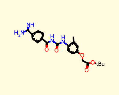 Cc1cc(OCC(=O)OC(C)(C)C)ccc1NC(=O)NC(=O)c1ccc(C(=N)N)cc1